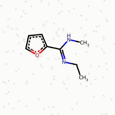 CC/N=C(\NC)c1ccco1